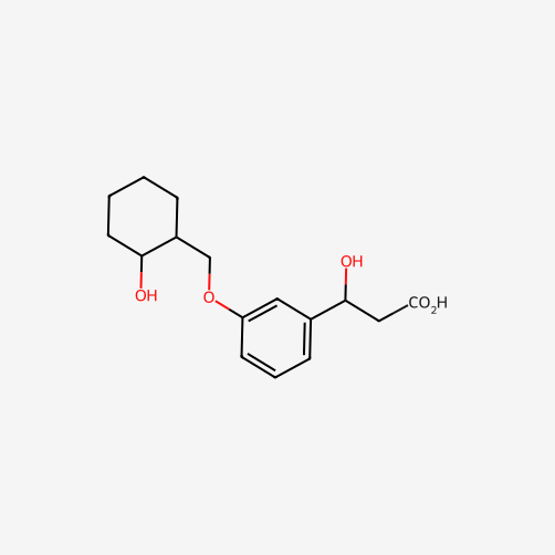 O=C(O)CC(O)c1cccc(OCC2CCCCC2O)c1